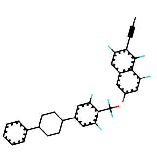 Fc1cc2cc(OC(F)(F)c3c(F)cc(C4CCC(c5ccccc5)CC4)cc3F)cc(F)c2c(F)c1C#CC(F)(F)F